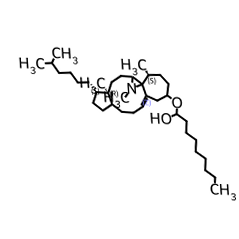 CCCCCCCCC(O)OC1CC[C@H](C)C23/C(=C\CCC4CC[C@H](CCCCC(C)C)[C@@]4(C)CCC2N3C)C1